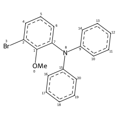 COc1c(Br)cccc1N(c1ccccc1)c1ccccc1